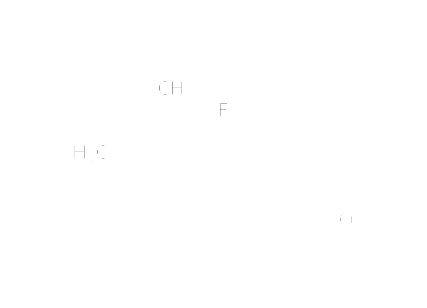 CC(C)CC1(F)CC(=O)C1